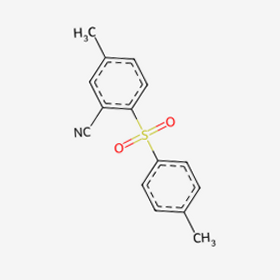 Cc1ccc(S(=O)(=O)c2ccc(C)cc2C#N)cc1